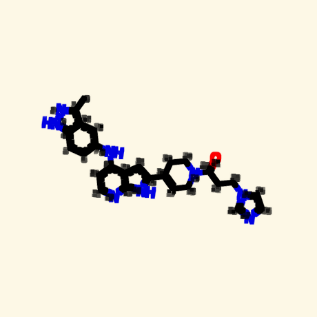 Cc1n[nH]c2ccc(Nc3ccnc4[nH]c(C5=CCN(C(=O)CCn6ccnc6)CC5)cc34)cc12